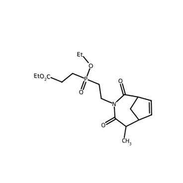 CCOC(=O)CCP(=O)(CCN1C(=O)C2C=CC(C2)C(C)C1=O)OCC